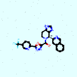 O=C(c1nnc(-c2ccc(C(F)(F)F)cn2)o1)N1CCc2[nH]cnc2[C@H]1c1cc2ccccc2cn1